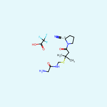 CC(C)(CC(=O)N1CCC[C@H]1C#N)SCNC(=O)CN.O=C(O)C(F)(F)F